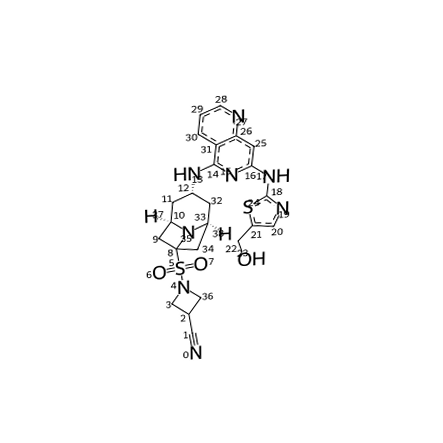 N#CC1CN(S(=O)(=O)C23C[C@H]4C[C@H](Nc5nc(Nc6ncc(CO)s6)cc6ncccc56)C[C@@H](C2)N43)C1